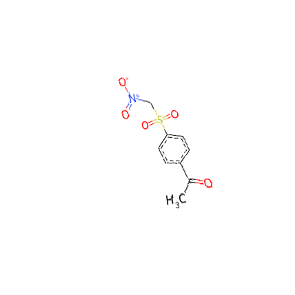 CC(=O)c1ccc(S(=O)(=O)C[N+](=O)[O-])cc1